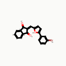 O=C1C(=Cc2ccc(-c3cccc(Br)c3)o2)C(=O)c2ccccc21